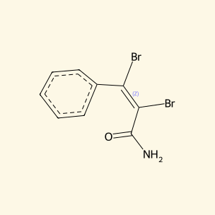 NC(=O)/C(Br)=C(/Br)c1ccccc1